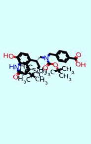 CC(C)(C)OC(=O)N(Cc1ccc(C(=O)O)cc1)C[C@H](C[Si](C)(C)C(C)(C)C)c1ccc(O)c2[nH]c(=O)ccc12